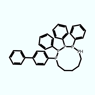 c1ccc(-c2ccc(P3CCCCCPP(c4ccccc4)P(c4ccccc4)P3c3ccccc3)cc2)cc1